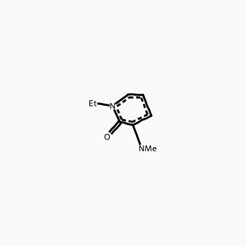 CCn1cccc(NC)c1=O